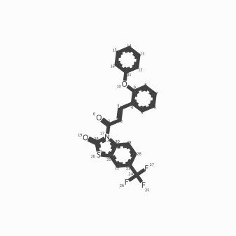 O=C(/C=C/c1ccccc1Oc1ccccc1)n1c(=O)sc2cc(C(F)(F)F)ccc21